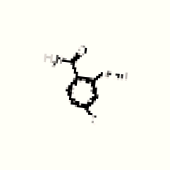 CCCCCc1cc(Cl)ccc1C(N)=O